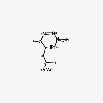 CSC(C)CCC(C)/N=N\N(C(C)C)C(C)C